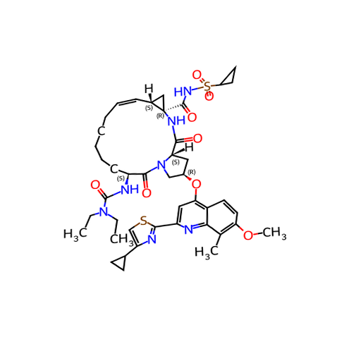 CCN(CC)C(=O)N[C@H]1CCCCCC=C[C@@H]2C[C@@]2(C(=O)NS(=O)(=O)C2CC2)NC(=O)[C@@H]2C[C@@H](Oc3cc(-c4nc(C5CC5)cs4)nc4c(C)c(OC)ccc34)CN2C1=O